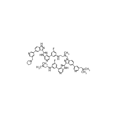 CN(C)CCNc1cc(F)cc(-c2cncc3[nH]c(-c4nn(CN(C)CCNc5cc(F)cc(-c6cncc7[nH]c(-c8n[nH]c9ccc(-c%10cncc(CN%11CCCC%11)c%10)cc89)nc67)c5)c5ccc(-c6cncc(CN(C)C)c6)cc45)nc23)c1